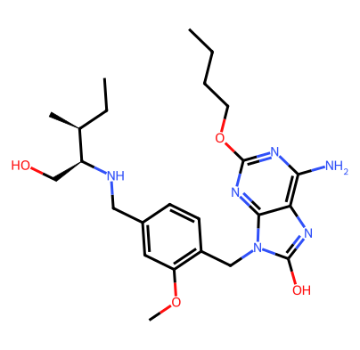 CCCCOc1nc(N)c2nc(O)n(Cc3ccc(CN[C@@H](CO)[C@@H](C)CC)cc3OC)c2n1